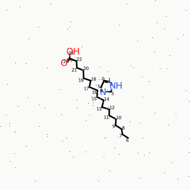 C1=CNCN=C1.CCCCCCCCCCCCCCCCCC(=O)O